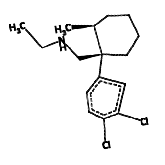 CCNC[C@]1(c2ccc(Cl)c(Cl)c2)CCCC[C@@H]1C